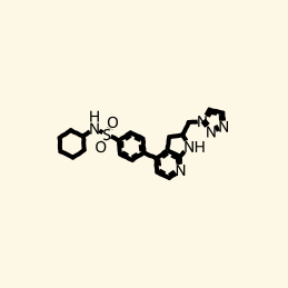 O=S(=O)(NC1CCCCC1)c1ccc(-c2ccnc3c2CC(Cn2ccnn2)N3)cc1